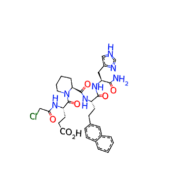 NC(=O)[C@H](Cc1c[nH]cn1)NC(=O)[C@H](CCc1ccc2ccccc2c1)NC(=O)[C@@H]1CCCCN1C(=O)[C@H](CCC(=O)O)NC(=O)CCl